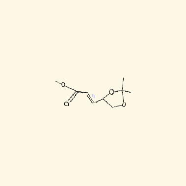 COC(=O)/C=C/C1COC(C)(C)O1